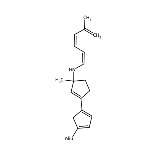 C=C(C)/C=C\C=C/NC1(C)C=C(C2=CC=C(CCCC)C2)CC1